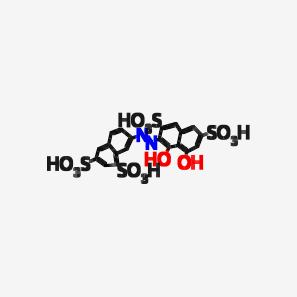 O=S(=O)(O)c1cc(S(=O)(=O)O)c2cc(N=Nc3c(S(=O)(=O)O)cc4cc(S(=O)(=O)O)cc(O)c4c3O)ccc2c1